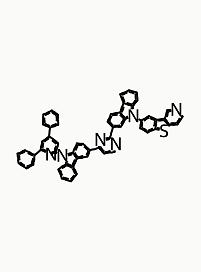 c1ccc(-c2cc(-c3ccccc3)nc(-n3c4ccccc4c4cc(-c5ccnc(-c6ccc7c8ccccc8n(-c8ccc9sc%10ccncc%10c9c8)c7c6)n5)ccc43)c2)cc1